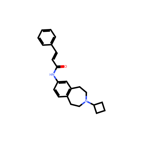 O=C(C=Cc1ccccc1)Nc1ccc2c(c1)CCN(C1CCC1)CC2